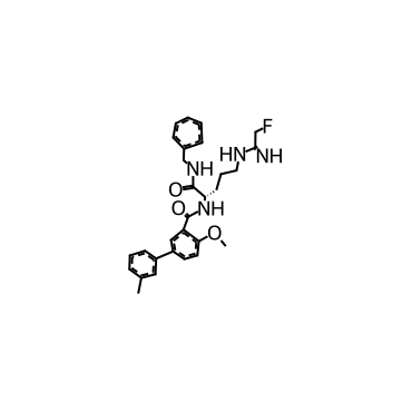 COc1ccc(-c2cccc(C)c2)cc1C(=O)N[C@@H](CCCNC(=N)CF)C(=O)NCc1ccccc1